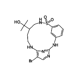 CC(C)(O)C1CCNc2nc(ncc2Br)Nc2cccc(c2)S(=O)(=O)NC1